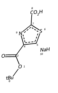 CC(C)(C)OC(=O)c1csc(C(=O)O)n1.[NaH]